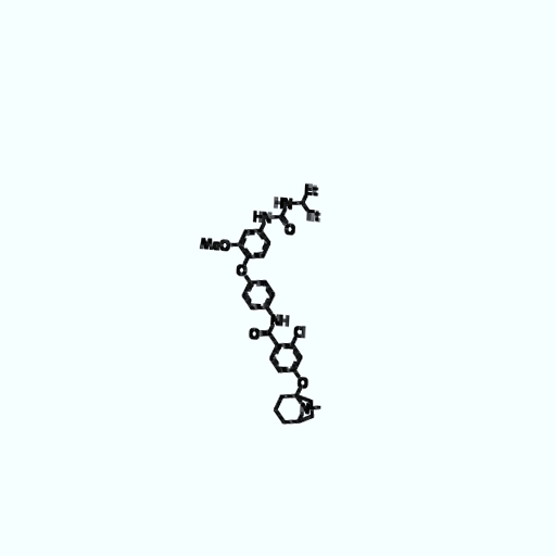 CCC(CC)NC(=O)Nc1ccc(Oc2ccc(NC(=O)c3ccc(OC45CCCC(CC4)N5C)cc3Cl)cc2)c(OC)c1